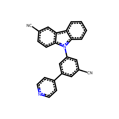 N#Cc1cc(-c2ccncc2)cc(-n2c3ccccc3c3cc(C#N)ccc32)c1